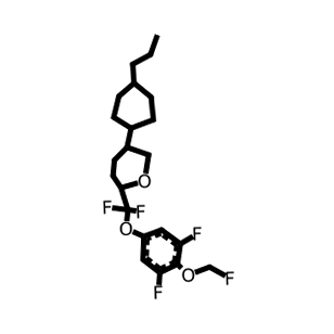 CCCC1CCC(C2CCC(C(F)(F)Oc3cc(F)c(OCF)c(F)c3)OC2)CC1